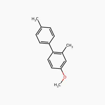 COc1ccc(-c2ccc(C)cc2)c(C)c1